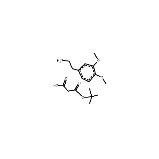 CC(C)(C)OC(=O)CC(=O)O.COc1ccc(CCN)cc1OC